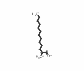 CCCCCCCCCCCC(C)[C]=O